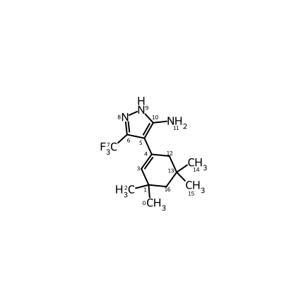 CC1(C)C=C(c2c(C(F)(F)F)n[nH]c2N)CC(C)(C)C1